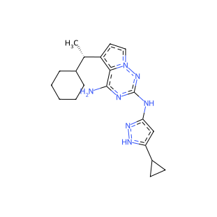 C[C@H](c1ccn2nc(Nc3cc(C4CC4)[nH]n3)nc(N)c12)C1CCCCC1